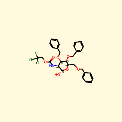 O=C(N[C@H]1[C@@H](OCc2ccccc2)[C@@H](OCc2ccccc2)[C@@H](COCc2ccccc2)O[C@@H]1O)OCC(Cl)(Cl)Cl